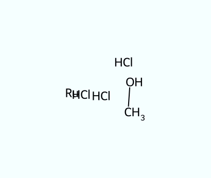 CO.Cl.Cl.Cl.[Ru]